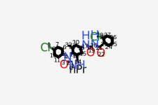 CCCNC(=O)N(c1ccc(Cl)cc1)c1c(C)cc(NC(=O)NC(=O)c2ccccc2Cl)cc1C